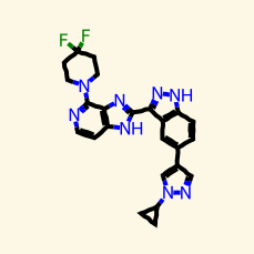 FC1(F)CCN(c2nccc3[nH]c(-c4n[nH]c5ccc(-c6cnn(C7CC7)c6)cc45)nc23)CC1